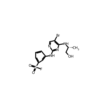 C[C@H](CO)Nc1nc(Nc2cccc(S(=O)(=O)F)c2)ncc1Br